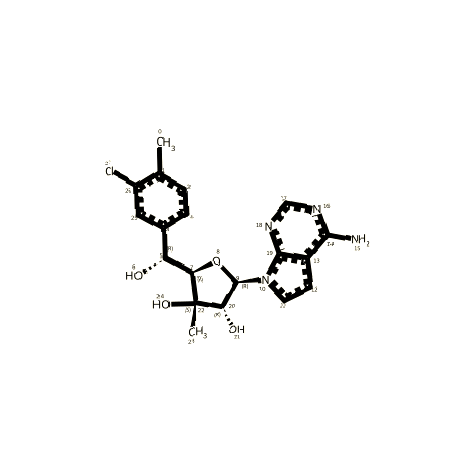 Cc1ccc([C@@H](O)[C@H]2O[C@@H](n3ccc4c(N)ncnc43)[C@H](O)[C@]2(C)O)cc1Cl